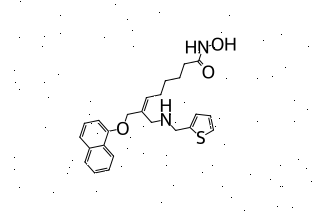 O=C(CCCCC=C(CNCc1cccs1)COc1cccc2ccccc12)NO